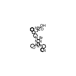 CC(C)(C[C@@H]1c2ccccc2CC12CCN(c1nc3c(nc1Br)c(N1CCCc4ncccc41)nn3C1CCCCO1)CC2)NC(=O)O